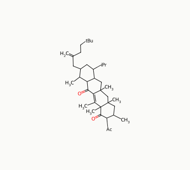 C=C(CCC(C)(C)C)CC1CC(C(C)C)C2CC3(C)CC4(C)CC(C)C(C(C)=O)C(=O)C4(C)C(C)=C3C(=O)C2C1C